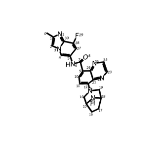 Cc1cn2cc(NC(=O)c3ccc(N4CC5CCC(C4)N5)c4nccnc34)cc(F)c2n1